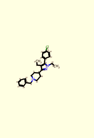 CCc1c(C2CCN(Cc3ccccc3)CC2)nn(CC)c1-c1ccc(Cl)cc1